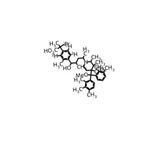 [2H]c1c([2H])c(C(C)(C(=O)O)C(C)C)c([2H])c(C)c1C(O)C(C)CC(C)N1CCC(C)(C(OC)(c2cccc(C)c2C)c2ccc(C)c(C)c2C)C(C)(C)C1C